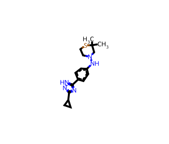 CC1(C)CN(Nc2ccc(-c3nc(C4CC4)n[nH]3)cc2)CCS1